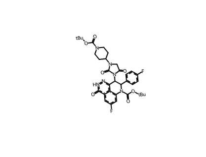 CC(C)(C)OC(=O)N1CCC(N2CC(=O)N(C3c4n[nH]c(=O)c5cc(F)cc(c45)N(C(=O)OC(C)(C)C)C3c3ccc(F)cc3)C2=O)CC1